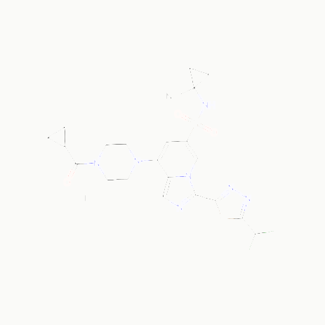 C[C@@H]1CN(c2cc(S(=O)(=O)NC3(C#N)CC3)cn3c(-c4nnc(C(F)F)s4)ncc23)C[C@H](C)N1C(=O)C1CC1